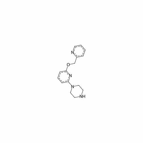 c1ccc(COc2cccc(N3CCNCC3)n2)nc1